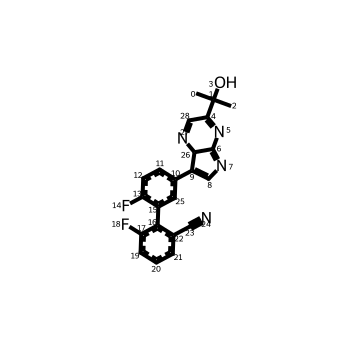 CC(C)(O)C1=NC2=NC=C(c3ccc(F)c(-c4c(F)cccc4C#N)c3)C2N=C1